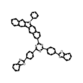 c1ccc(-n2c3cc4ccccc4cc3c3cc4cc(-c5nc(-c6ccc(-c7nc8ccccc8o7)cc6)nc(-c6ccc(-c7nc8ccccc8o7)cc6)n5)ccc4cc32)cc1